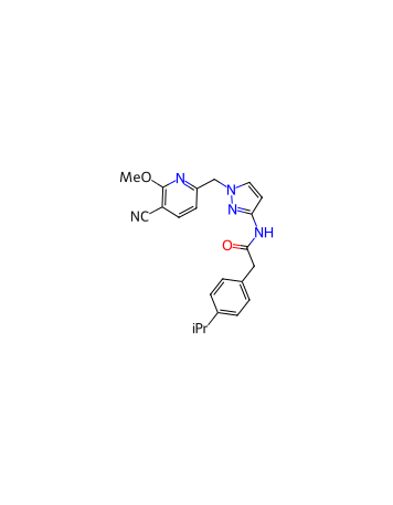 COc1nc(Cn2ccc(NC(=O)Cc3ccc(C(C)C)cc3)n2)ccc1C#N